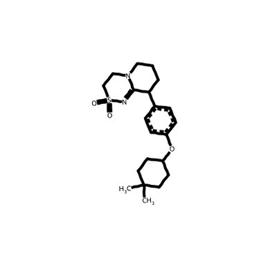 CC1(C)CCC(Oc2ccc(C3CCCN4CCS(=O)(=O)N=C34)cc2)CC1